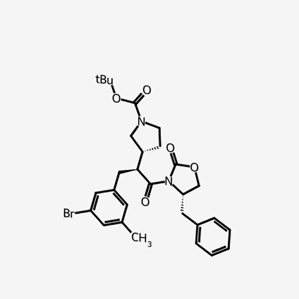 Cc1cc(Br)cc(C[C@H](C(=O)N2C(=O)OC[C@@H]2Cc2ccccc2)[C@H]2CCN(C(=O)OC(C)(C)C)C2)c1